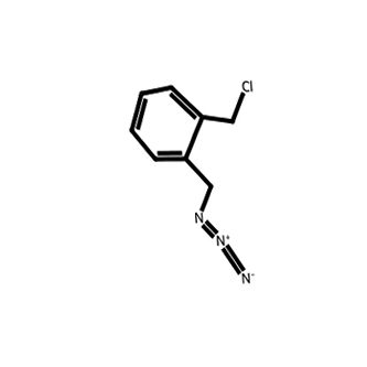 [N-]=[N+]=NCc1ccccc1CCl